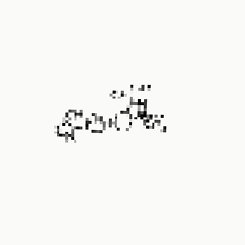 Cn1ccnc1-c1ccc(N2CCc3c(c(C(=O)O)nn3C)C2)nc1